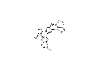 Cn1ncc2c(N)nc3ccc(C(=O)N(Cc4ccc(C(F)(F)F)cn4)N4C(=O)C5CCC4C5)cc3c21